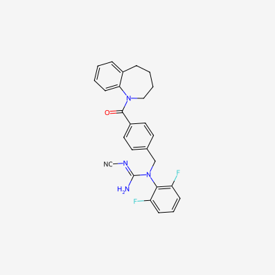 N#CN=C(N)N(Cc1ccc(C(=O)N2CCCCc3ccccc32)cc1)c1c(F)cccc1F